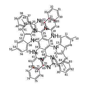 Cc1ccc2c(c1)c1cc(C)ccc1n2-c1c(Nc2ccccc2)c(-c2nc(-c3ccccc3)nc(-c3ccccc3)n2)c(-n2c3ccc(C)cc3c3cc(C)ccc32)c(Nc2ccccc2)c1-c1nc(-c2ccccc2)nc(-c2ccccc2)n1